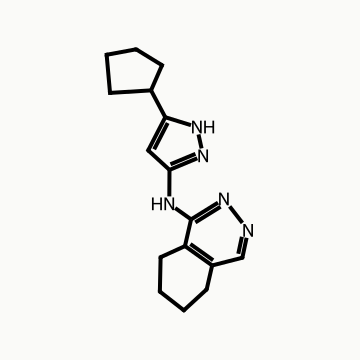 c1c(Nc2nncc3c2CCCC3)n[nH]c1C1CCCC1